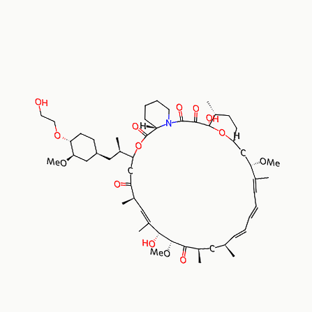 CO[C@H]1C[C@@H]2CC[C@@H](C)[C@@](O)(O2)C(=O)C(=O)N2CCCC[C@H]2C(=O)OC([C@H](C)C[C@@H]2CC[C@@H](OCCO)[C@H](OC)C2)CC(=O)[C@H](C)/C=C(\C)[C@@H](O)[C@@H](OC)C(=O)[C@H](C)C[C@H](C)/C=C/C=C/C=C/1C